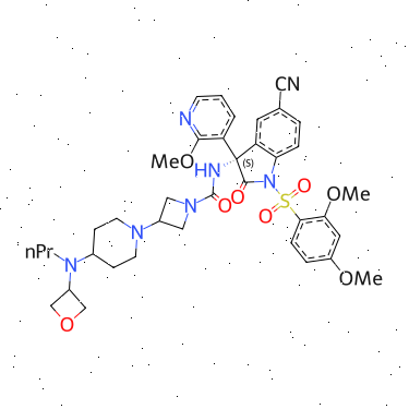 CCCN(C1CCN(C2CN(C(=O)N[C@@]3(c4cccnc4OC)C(=O)N(S(=O)(=O)c4ccc(OC)cc4OC)c4ccc(C#N)cc43)C2)CC1)C1COC1